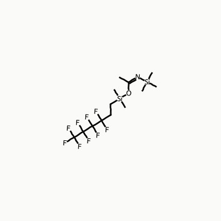 CC(=N[Si](C)(C)C)O[Si](C)(C)CCC(F)(F)C(F)(F)C(F)(F)C(F)(F)F